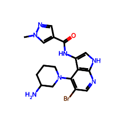 Cn1cc(C(=O)Nc2c[nH]c3ncc(Br)c(N4CCCC(N)C4)c23)cn1